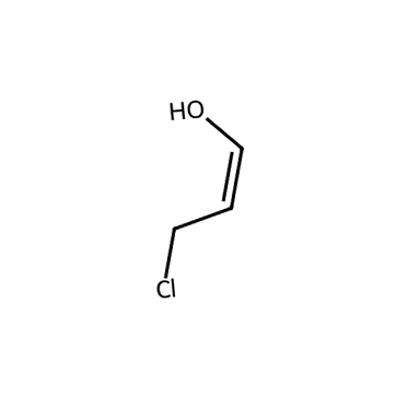 O/C=C\CCl